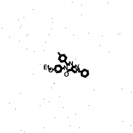 CCOc1ccc(-n2c(-c3ccc(C)cc3)nc3nn(-c4ccccc4)cc3c2=O)cc1